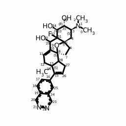 CN(C)[C@H]1C[C@@]23CC[C@@]4(O2)C(=CC[C@]2(C)C(c5ccc6cnncc6c5)=CCC24)C(O)C3(F)[C@@H](O)[C@@H]1O